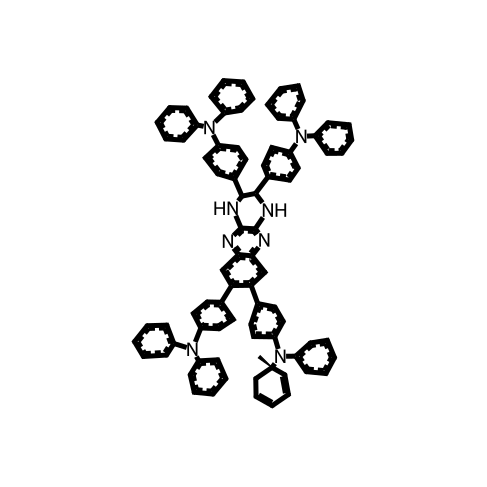 C[C@@]1(N(c2ccccc2)c2ccc(-c3cc4nc5c(nc4cc3-c3ccc(N(c4ccccc4)c4ccccc4)cc3)NC(c3ccc(N(c4ccccc4)c4ccccc4)cc3)C(c3ccc(N(c4ccccc4)c4ccccc4)cc3)N5)cc2)C=CC=CC1